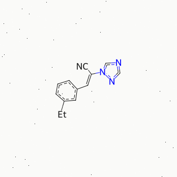 [CH2]Cc1cccc(/C=C(\C#N)n2cncn2)c1